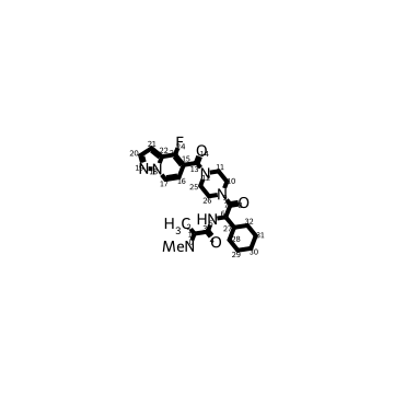 CNC(C)C(=O)NC(C(=O)N1CCN(C(=O)c2ccn3nccc3c2F)CC1)C1CCCCC1